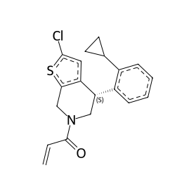 C=CC(=O)N1Cc2sc(Cl)cc2[C@H](c2ccccc2C2CC2)C1